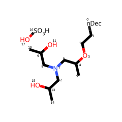 CCCCCCCCCCCCOC(C)CN(CC(C)O)CC(C)O.O=S(=O)(O)O